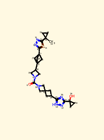 O=C(N1CC(C23CC(c4nnc(C5(C(F)(F)F)CC5)s4)(C2)C3)C1)N1CC2(CC(c3nc(C4(O)CC4)n[nH]3)C2)C1